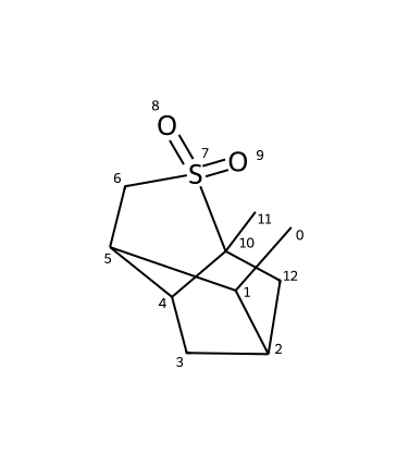 CC1C2CC3C1CS(=O)(=O)C3(C)C2